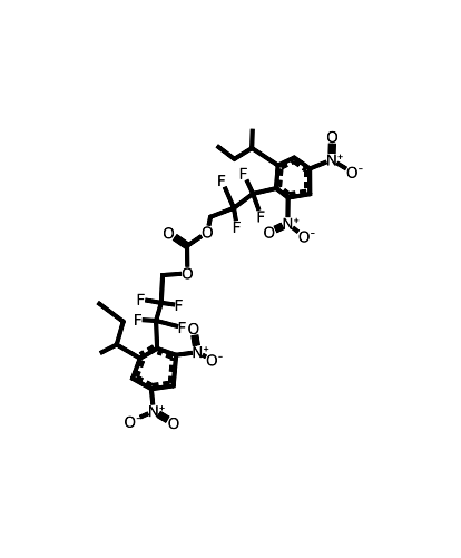 CCC(C)c1cc([N+](=O)[O-])cc([N+](=O)[O-])c1C(F)(F)C(F)(F)COC(=O)OCC(F)(F)C(F)(F)c1c(C(C)CC)cc([N+](=O)[O-])cc1[N+](=O)[O-]